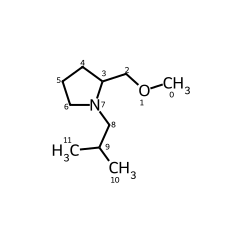 COCC1CCCN1CC(C)C